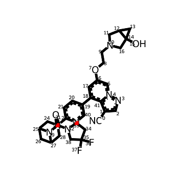 N#Cc1cnn2cc(OCCN3CC4CC4(O)C3)cc(-c3ccc(N4CC5CC(C4)N5C(=O)N4CCC(F)(F)C4)nc3)c12